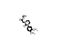 Cc1ccc(N2CCCN(CC(=O)OC(C)(C)C)C2=O)cc1C